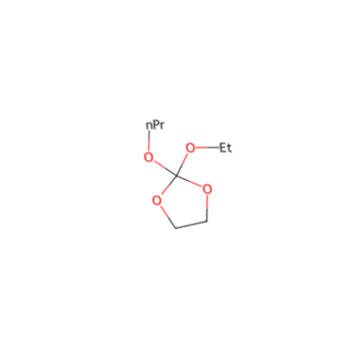 CCCOC1(OCC)OCCO1